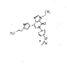 CCCn1cc(-c2cn(-c3ccc(OC(F)(F)F)cc3)c(=O)c3c2ncn3CC)cn1